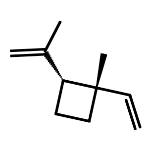 C=C[C@]1(C)CC[C@@H]1C(=C)C